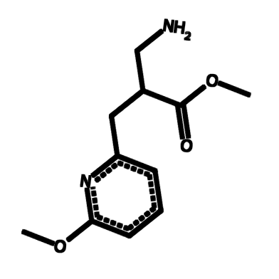 COC(=O)C(CN)Cc1cccc(OC)n1